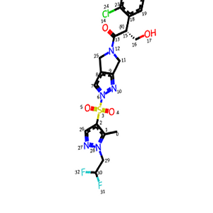 Cc1c(S(=O)(=O)n2cc3c(n2)CN(C(=O)[C@@H](CO)c2ccccc2Cl)C3)cnn1CC(F)F